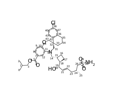 CC(C)COC(=O)c1ccc2c(c1)N(C[C@@H]1CC[C@H]1[C@@H](O)/C=C/C[C@@H](C)CS(N)(=O)=O)C[C@@]1(CCCc3cc(Cl)ccc31)CO2